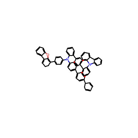 C1=CCC(c2ccc(-c3ccc(N(c4ccc(C5=c6oc7ccccc7c6=CCC5)cc4)c4ccccc4-c4ccc(-c5ccccc5-n5c6ccccc6c6ccccc65)cc4)cc3)cc2)C=C1